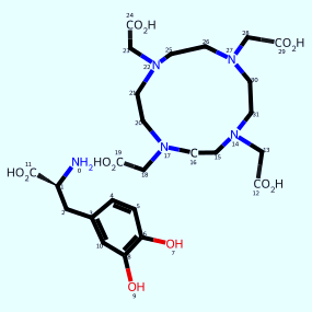 N[C@@H](Cc1ccc(O)c(O)c1)C(=O)O.O=C(O)CN1CCN(CC(=O)O)CCN(CC(=O)O)CCN(CC(=O)O)CC1